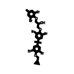 Cc1cc(Br)c(OCC(O)COc2c(Br)cc(C(C)(C)c3cc(Br)c(OCC4CC4)c(Br)c3)cc2Br)c(Br)c1